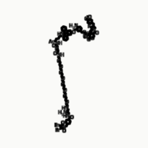 CC[C@@]1(OC(=O)OCc2ccc(N)c(COc3ccc(C(NCCCCC(NC(=O)COCC(=O)NCCOCCOCCOCCOCCOCCOCCOCCOCCN/C=C(\N)CNC(=O)C4CCC(CN5C(=O)C(Br)=C(Br)C5=O)CC4)C(C)=O)(c4ccccc4)c4ccccc4)cc3)c2)C(=O)OCc2c1cc1n(c2=O)Cc2cc3cc4c(cc3nc2-1)OCO4